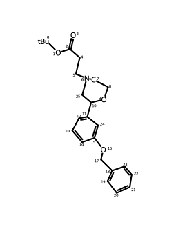 CC(C)(C)OC(=O)CCN1CCOC(c2cccc(OCc3ccccc3)c2)C1